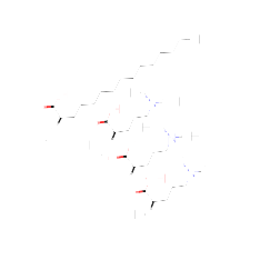 C=C(CCCCCCCCCCCCC)C(=O)O.C=C(CCCN(C)C)C(=O)O.C=C(CCCN(C)C)C(=O)O.C=C(CCCN(C)C)C(=O)O